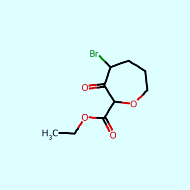 CCOC(=O)C1OCCCC(Br)C1=O